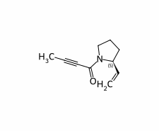 C=C[C@@H]1CCCN1C(=O)C#CC